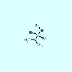 CCN[Si](N(C)C)(C(C)(C)C)C(C)(C)C